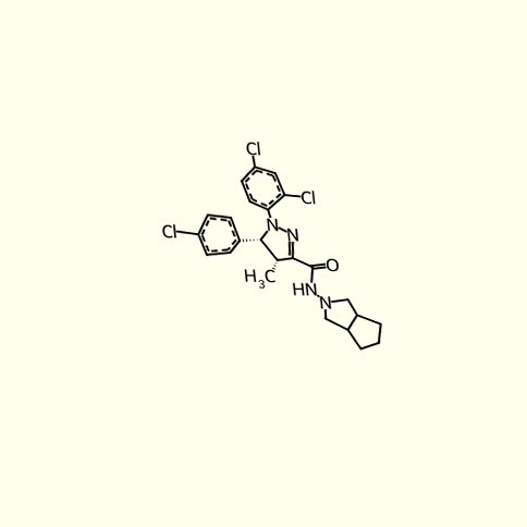 C[C@H]1C(C(=O)NN2CC3CCCC3C2)=NN(c2ccc(Cl)cc2Cl)[C@H]1c1ccc(Cl)cc1